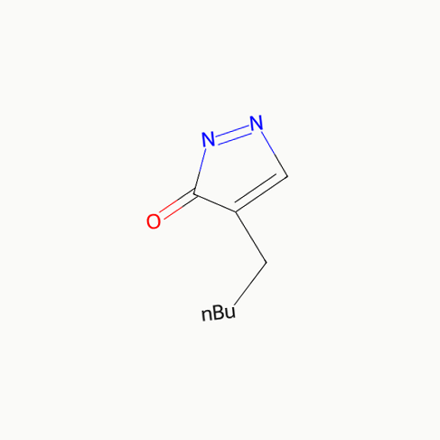 CCCCCC1=CN=NC1=O